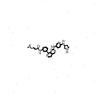 CN(C)CC=CC(=O)Nc1cccc(-c2nccc3cnc(Nc4ccc(NC5CCNC5)nc4)nc23)c1